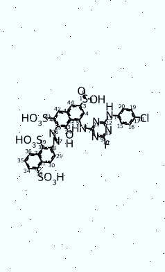 O=S(O)c1cc(Nc2nc(F)nc(Nc3ccc(Cl)cc3)n2)c2c(O)c(/N=N/c3ccc4c(S(=O)(=O)O)cccc4c3S(=O)(=O)O)c(S(=O)(=O)O)cc2c1